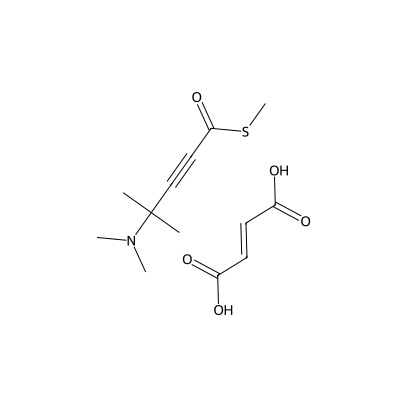 CSC(=O)C#CC(C)(C)N(C)C.O=C(O)C=CC(=O)O